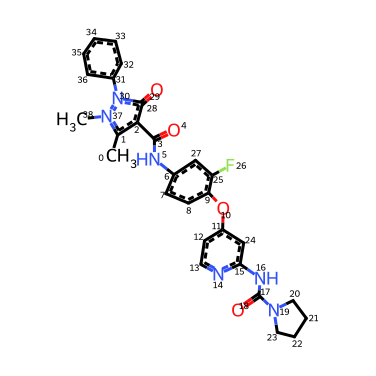 Cc1c(C(=O)Nc2ccc(Oc3ccnc(NC(=O)N4CCCC4)c3)c(F)c2)c(=O)n(-c2ccccc2)n1C